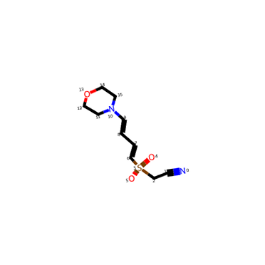 N#CCS(=O)(=O)C=CC=CN1CCOCC1